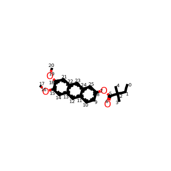 CCC(C)(C)C(=O)Oc1ccc2cc3cc(OC)c(OC)cc3cc2c1